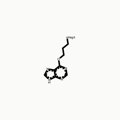 CCCCCCCCCCOc1ncnc2[nH]cnc12